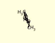 CCCCC[C@H]1CC[C@H](c2ccc(C(=O)OC3CCC(CCC)CC3)c(F)c2)OC1